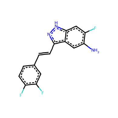 Nc1cc2c(C=Cc3ccc(F)c(F)c3)n[nH]c2cc1F